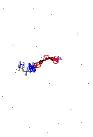 Cc1nnc(SCCOc2ccc(C=CC(=O)C=Cc3ccc([N+](=O)[O-])cc3)cc2)n1N